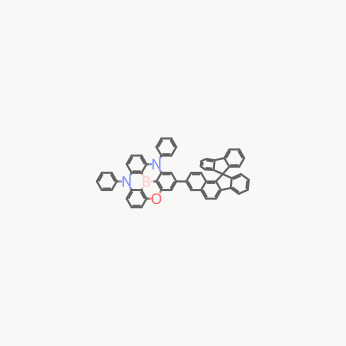 c1ccc(N2c3cccc4c3B3c5c(cc(-c6ccc7c8c(ccc7c6)-c6ccccc6C86c7ccccc7-c7ccccc76)cc5N(c5ccccc5)c5cccc2c53)O4)cc1